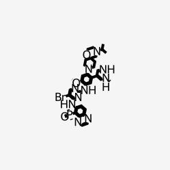 CN/C=C(\C=N)c1cc(Nc2ncc(Br)c(Nc3ccc4nccnc4c3P(C)(C)=O)n2)c(OC)cc1N1CCC2(CC1)CN(C(C)C)CCO2